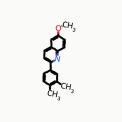 COc1ccc2nc(-c3ccc(C)c(C)c3)ccc2c1